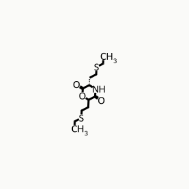 CCSCCC1OC(=O)[C@H](CCSCC)NC1=O